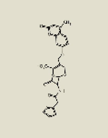 Cc1cc(=O)oc2cc(OCC3=C(C(=O)O)N4C(=O)C(NC(=O)Cc5cccs5)C4SC3)ccc12